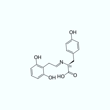 O=C(O)[C@H](Cc1ccc(O)cc1)N=CCc1c(O)cccc1O